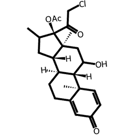 CC(=O)O[C@]1(C(=O)CCl)C(C)C[C@H]2[C@@H]3CCC4=CC(=O)C=C[C@]4(C)[C@H]3C(O)C[C@@]21C